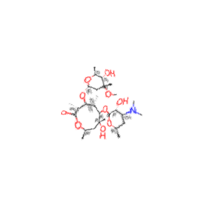 CO[C@]1(C)C[C@H](O[C@H]2[C@H](C)[C@@H](O[C@@H]3O[C@H](C)C[C@H](N(C)C)[C@H]3O)[C@](C)(O)C[C@@H](C)OC(=O)[C@@H]2C)O[C@@H](C)[C@@H]1O